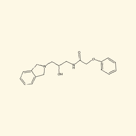 O=C(COc1ccccc1)NCC(O)CN1Cc2ccccc2C1